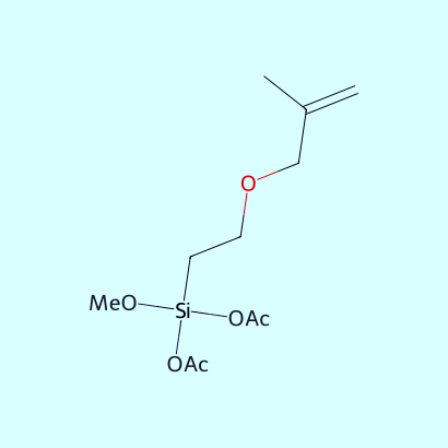 C=C(C)COCC[Si](OC)(OC(C)=O)OC(C)=O